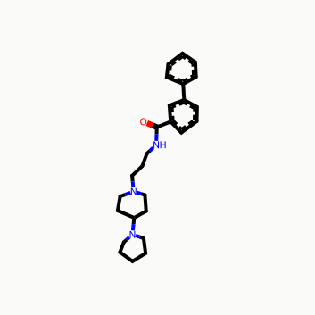 O=C(NCCCN1CCC(N2CCCCC2)CC1)c1cccc(-c2ccccc2)c1